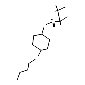 O=S(=O)(O)C(F)(F)C(F)(F)S(=O)(=O)NC1CCC(OCCCO)CC1